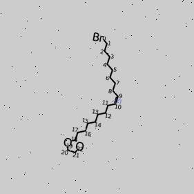 BrCCCCCCCC/C=C\CCCCCCCC1OCCO1